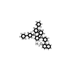 Cc1ccc2ccccc2c1-c1cccc(-n2c3ccccc3c3c(N(c4ccc(-c5ccccc5)cc4)c4ccc(-c5ccccc5)cc4)cccc32)c1